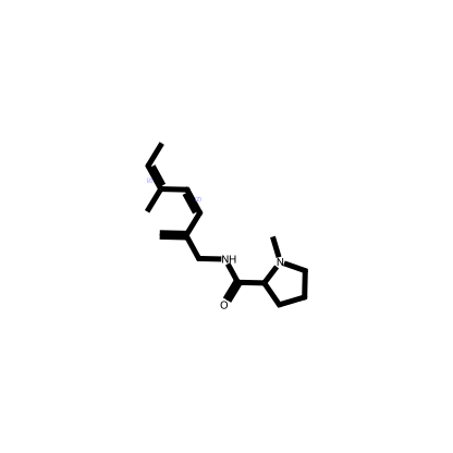 C=C(/C=C\C(C)=C/C)CNC(=O)C1CCCN1C